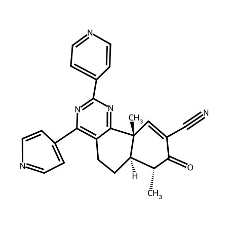 C[C@H]1C(=O)C(C#N)=C[C@@]2(C)c3nc(-c4ccncc4)nc(-c4ccncc4)c3CC[C@H]12